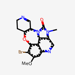 COc1cc2ncc3c4c2c(oc2c(n4c(=O)n3C)C=NCC2)c1Br